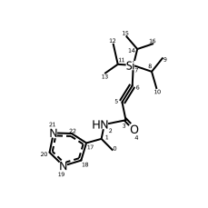 CC(NC(=O)C#C[Si](C(C)C)(C(C)C)C(C)C)c1cncnc1